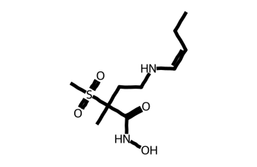 CC/C=C\NCCC(C)(C(=O)NO)S(C)(=O)=O